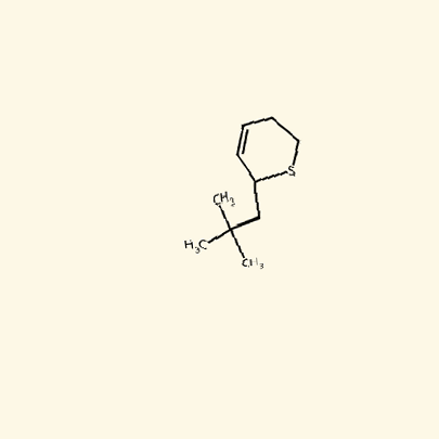 CC(C)(C)CC1C=CCCS1